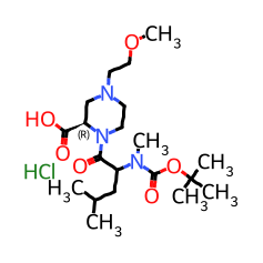 COCCN1CCN(C(=O)C(CC(C)C)N(C)C(=O)OC(C)(C)C)[C@@H](C(=O)O)C1.Cl